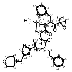 CC(C)C[C@H](NC(=O)[C@H](CCc1ccccc1)NC(=O)c1cc(CN2CCOCC2)on1)C(=O)N[C@@H](Cc1ccccc1)C(=O)[C@@]1(C)CO1